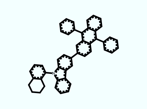 c1ccc(-c2c3ccccc3c(-c3ccccc3)c3cc(-c4ccc5c(c4)c4ccccc4n5-c4cccc5c4CCCC5)ccc23)cc1